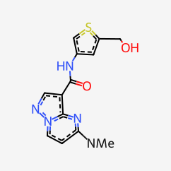 CNc1ccn2ncc(C(=O)Nc3csc(CO)c3)c2n1